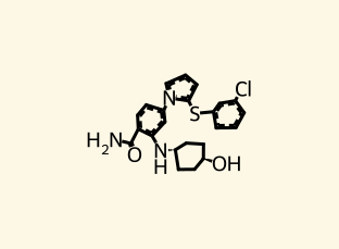 NC(=O)c1ccc(-n2cccc2Sc2cccc(Cl)c2)cc1N[C@H]1CC[C@H](O)CC1